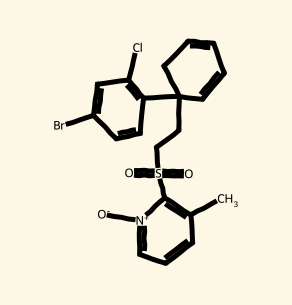 Cc1ccc[n+]([O-])c1S(=O)(=O)CCC1(c2ccc(Br)cc2Cl)C=CC=CC1